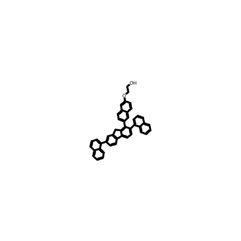 OCCOc1ccc2cc(-c3c(-c4cccc5ccccc45)ccc4c3Cc3cc(-c5cccc6ccccc56)ccc3-4)ccc2c1